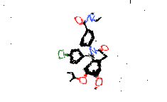 CCC(C)Oc1cc2c(cc1OC)CC(=O)N(c1ccc(C(=O)N(C)CC)cc1)[C@@H]2c1ccc(Cl)cc1